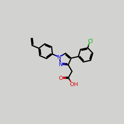 C=Cc1ccc(-n2cc(-c3cccc(Cl)c3)c(CC(=O)O)n2)cc1